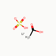 CC(=O)O.O=S(=O)([O-])O.[Li+]